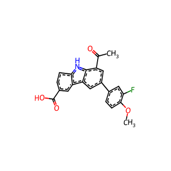 COc1ccc(-c2cc(C(C)=O)c3[nH]c4ccc(C(=O)O)cc4c3c2)cc1F